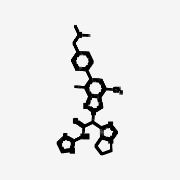 Cc1c(-c2ccc(CN(C)C)cc2)cc(C(F)(F)F)c2cn(C(C(=O)Nc3nccs3)c3ncn4c3CCC4)nc12